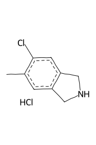 Cc1cc2c(cc1Cl)CNC2.Cl